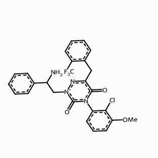 COc1cccc(-n2c(=O)c(Cc3ccccc3C(F)(F)F)nn(CC(N)c3ccccc3)c2=O)c1Cl